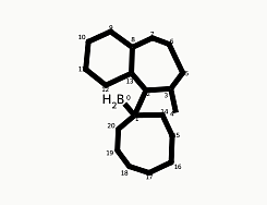 BC1(C2C(C)CCCC3CCCCC32)CCCCCCC1